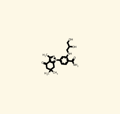 Cc1nn(-c2ccc(C(N)=O)c(NCC(O)CO)c2)c2c1C(=O)CC(C)(C)C2